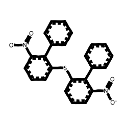 O=[N+]([O-])c1cccc(Sc2cccc([N+](=O)[O-])c2-c2ccccc2)c1-c1ccccc1